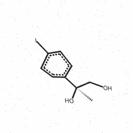 C[C@@](O)(CO)c1ccc(I)cc1